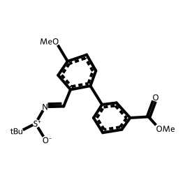 COC(=O)c1cccc(-c2ccc(OC)cc2C=N[S+]([O-])C(C)(C)C)c1